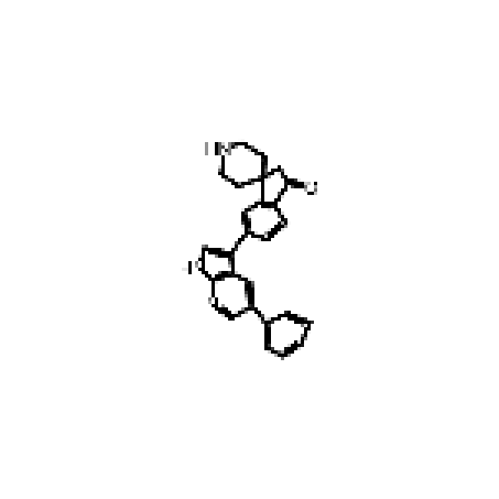 O=C1CC2(CCNCC2)c2cc(-c3c[nH]c4ncc(-c5ccccc5)cc34)ccc21